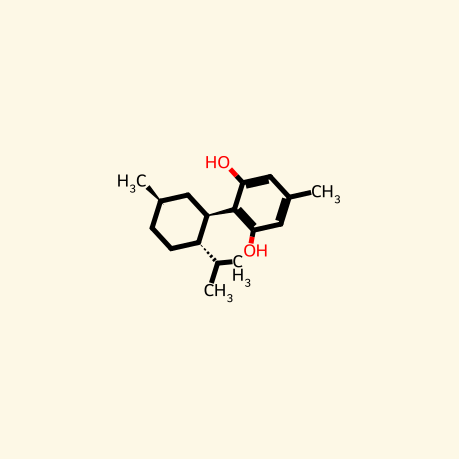 Cc1cc(O)c([C@@H]2C[C@H](C)CC[C@H]2C(C)C)c(O)c1